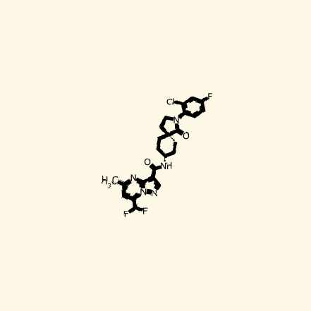 Cc1cc(C(F)F)n2ncc(C(=O)N[C@H]3CC[C@@]4(CCN(c5ccc(F)cc5Cl)C4=O)CC3)c2n1